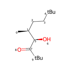 C[C@@H](CCC(C)(C)C)[C@@H](O)C(=O)C(C)(C)C